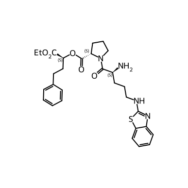 CCOC(=O)[C@H](CCc1ccccc1)OC(=O)[C@@H]1CCCN1C(=O)[C@@H](N)CCCNc1nc2ccccc2s1